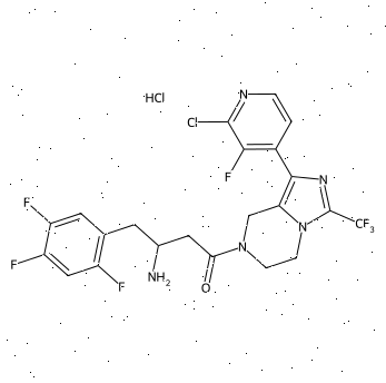 Cl.NC(CC(=O)N1CCn2c(C(F)(F)F)nc(-c3ccnc(Cl)c3F)c2C1)Cc1cc(F)c(F)cc1F